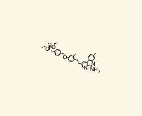 CCOP(=O)(Cc1ccc(COc2ccc(CCc3cnc4c(N)nc5cc(C)ccc5c4c3)c(C)c2)cc1)OCC